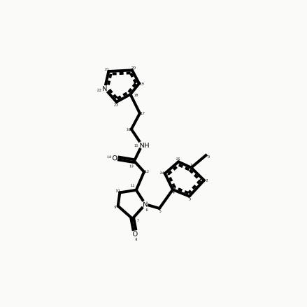 Cc1ccc(CN2C(=O)CCC2CC(=O)NCCc2cccnc2)cc1